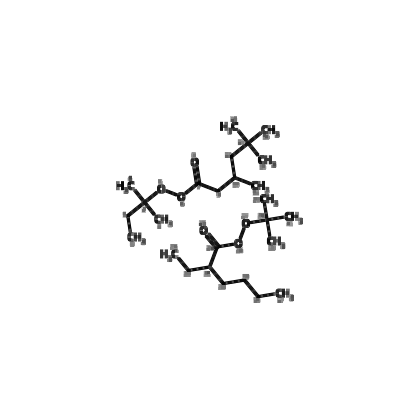 CCC(C)(C)OOC(=O)CC(C)CC(C)(C)C.CCCCC(CC)C(=O)OOC(C)(C)C